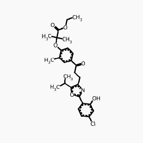 CCOC(=O)C(C)(C)Oc1ccc(C(=O)CCc2nc(-c3ccc(Cl)cc3O)oc2C(C)C)cc1C